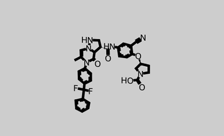 CC1=CN2NC[C@H](C(=O)Nc3ccc(O[C@H]4CCN(C(=O)O)C4)c(C#N)c3)C2C(=O)N1c1ccc(C(F)(F)c2ccccc2)cc1